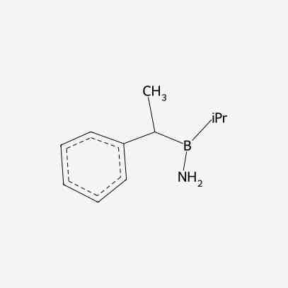 CC(C)B(N)C(C)c1ccccc1